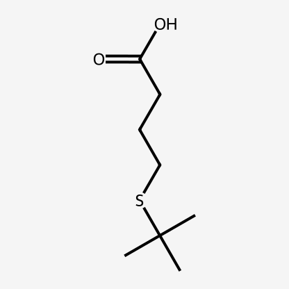 CC(C)(C)SCCCC(=O)O